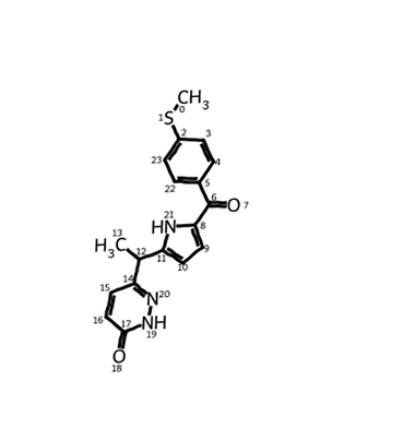 CSc1ccc(C(=O)c2ccc(C(C)c3ccc(=O)[nH]n3)[nH]2)cc1